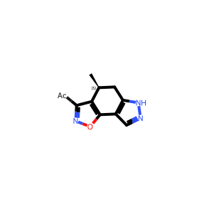 CC(=O)c1noc2c1[C@@H](C)Cc1[nH]ncc1-2